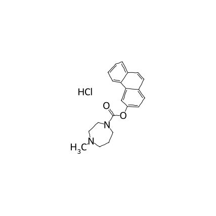 CN1CCCN(C(=O)Oc2ccc3ccc4ccccc4c3c2)CC1.Cl